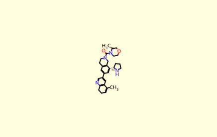 CC1=CCCc2ncc(-c3cc4c(c([C@@H]5CCCN5)c3)CN(C(=O)N3CCOC[C@H]3C)CC4)cc21